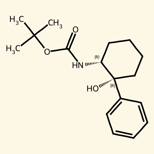 CC(C)(C)OC(=O)N[C@@H]1CCCC[C@@]1(O)c1ccccc1